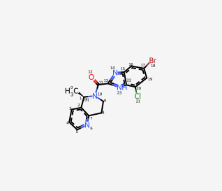 C[C@@H]1c2cccnc2CCN1C(=O)c1nc2cc(Br)cc(Cl)c2[nH]1